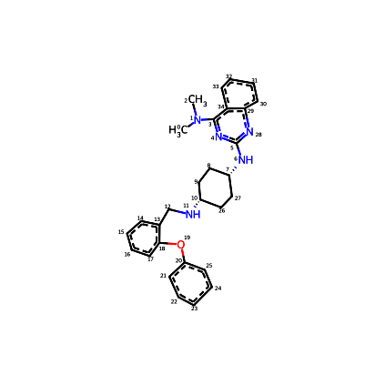 CN(C)c1nc(N[C@H]2CC[C@@H](NCc3ccccc3Oc3ccccc3)CC2)nc2ccccc12